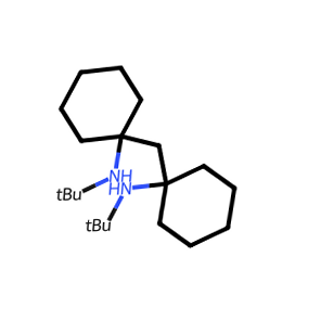 CC(C)(C)NC1(CC2(NC(C)(C)C)CCCCC2)CCCCC1